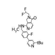 C[C@H](Nc1nccc2c1CN(CC(F)F)C2=O)c1ccc(-c2ccnc(C(C)(C)C)c2)c(F)c1